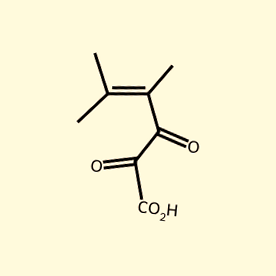 CC(C)=C(C)C(=O)C(=O)C(=O)O